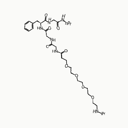 CCCNC(=O)CNC(=O)[C@H](Cc1ccccc1)NC(=O)CNC(=O)CNC(=O)CCOCCOCCOCCOCCNC(C)C